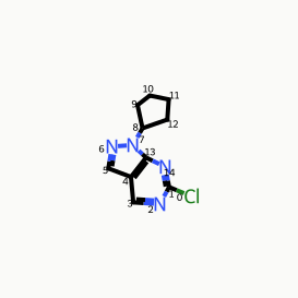 Clc1ncc2cnn(C3CCCC3)c2n1